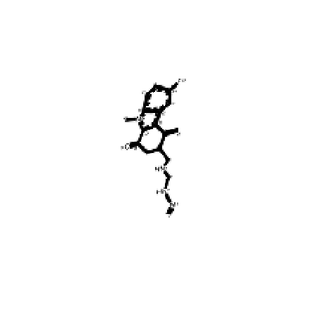 C=NNCNCC1CC(=O)c2c(c3cc(F)ccc3n2C)C1=C